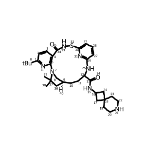 CC(C)(C)c1ccc2c(n1)N1C[C@@H](CCC(C(=O)NC3CC4(CCNCC4)C3)Nc3cccc(n3)SNC2=O)CC1(C)C